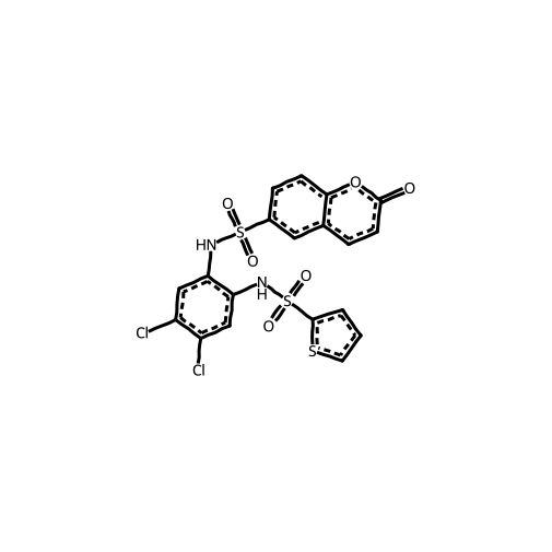 O=c1ccc2cc(S(=O)(=O)Nc3cc(Cl)c(Cl)cc3NS(=O)(=O)c3cccs3)ccc2o1